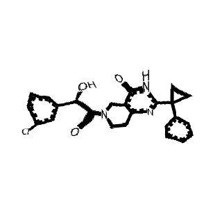 O=C([C@H](O)c1cccc(Cl)c1)N1CCc2nc(C3(c4ccccc4)CC3)[nH]c(=O)c2C1